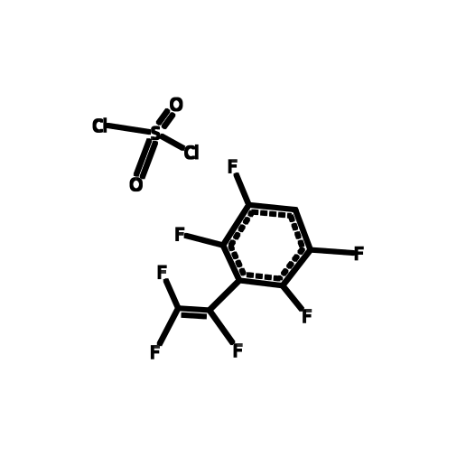 FC(F)=C(F)c1c(F)c(F)cc(F)c1F.O=S(=O)(Cl)Cl